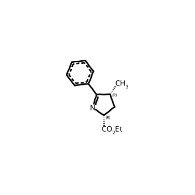 CCOC(=O)[C@H]1C[C@@H](C)C(c2ccccc2)=N1